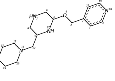 c1cc(COC2CNCC(CN3CCCCC3)N2)ccn1